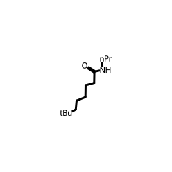 CCCNC(=O)CCCCCC(C)(C)C